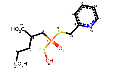 O=C(O)CCC(CP(=O)(SO)SCc1ccccn1)C(=O)O